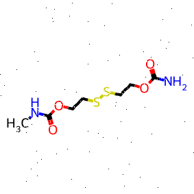 CNC(=O)OCCSSCCOC(N)=O